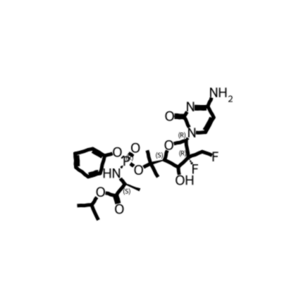 CC(C)OC(=O)[C@H](C)N[P@@](=O)(Oc1ccccc1)OC(C)(C)[C@H]1O[C@@H](n2ccc(N)nc2=O)[C@@](F)(CF)C1O